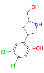 OCC1CC(c2cc(Cl)c(Cl)cc2O)CN1